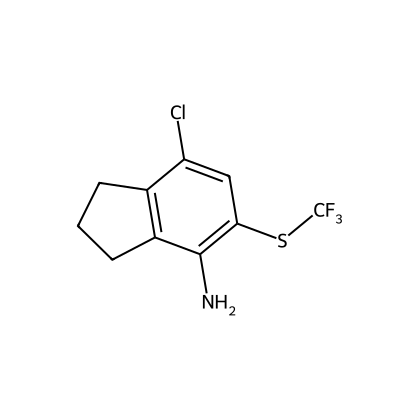 Nc1c(SC(F)(F)F)cc(Cl)c2c1CCC2